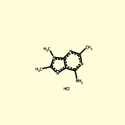 Cc1nc(N)c2nc(C)n(C)c2n1.Cl